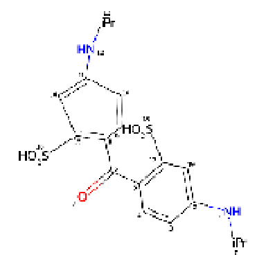 CC(C)Nc1ccc(C(=O)c2ccc(NC(C)C)cc2S(=O)(=O)O)c(S(=O)(=O)O)c1